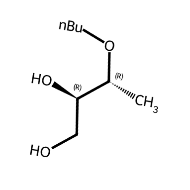 CCCCO[C@H](C)[C@H](O)CO